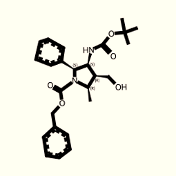 C[C@@H]1[C@H](CO)[C@H](NC(=O)OC(C)(C)C)[C@H](c2ccccc2)N1C(=O)OCc1ccccc1